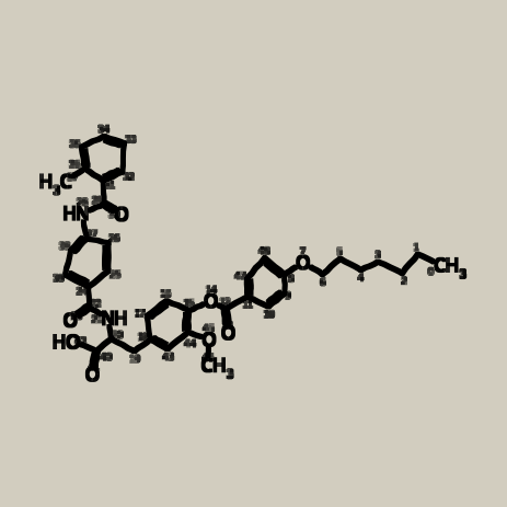 CCCCCCCOc1ccc(C(=O)Oc2ccc(CC(NC(=O)c3ccc(NC(=O)c4ccccc4C)cc3)C(=O)O)cc2OC)cc1